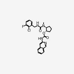 CN(C(=O)NCc1cccc(F)c1Cl)[C@H]1CCC[C@@H]1OC(=O)Nc1cc2ccccc2cn1